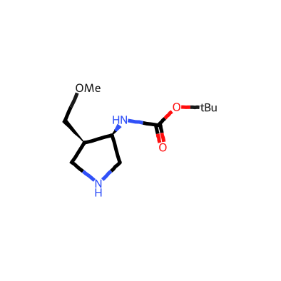 COC[C@@H]1CNC[C@@H]1NC(=O)OC(C)(C)C